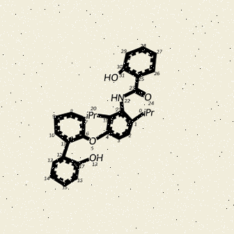 CC(C)c1ccc(Oc2ccccc2-c2ccccc2O)c(C(C)C)c1NC(=O)c1ccccc1O